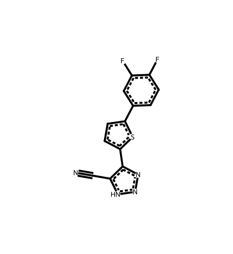 N#Cc1[nH]nnc1-c1ccc(-c2ccc(F)c(F)c2)s1